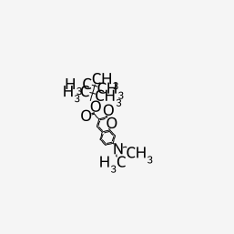 CCN(CC)c1ccc2cc(C(=O)OCC(C)(C)C(C)(C)C)c(=O)oc2c1